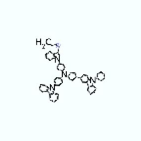 C=C/C=C\c1cn(-c2ccc(N(c3ccc(-c4ccc5c(c4)c4ccccc4n5-c4ccccc4)cc3)c3ccc(-n4c5ccccc5c5ccccc54)cc3)cc2)c2ccccc12